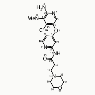 CNc1c(N)ncc(Oc2ccnc(NC(=O)CCN3CCOCC3)c2)c1Cl